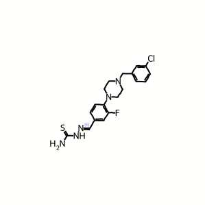 NC(=S)N/N=C/c1ccc(N2CCN(Cc3cccc(Cl)c3)CC2)c(F)c1